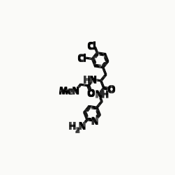 CNCC(=O)NC(Cc1ccc(Cl)c(Cl)c1)C(=O)NCc1ccc(N)nc1